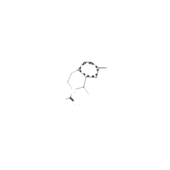 CC1c2cc(O)ccc2CCN1C(=O)C(F)(F)F